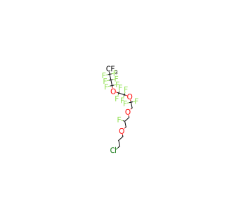 FC(COCCCCl)COCC(F)(F)OC(F)(F)C(F)(F)OC(F)(F)C(F)(F)C(F)(F)C(F)(F)F